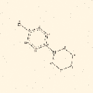 Clc1c[c]c(N2CCCCC2)cc1